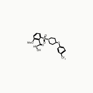 COc1cccc(S(=O)(=O)N2CCC(Oc3ccc(C(F)(F)F)cc3)CC2)c1C(=O)NO